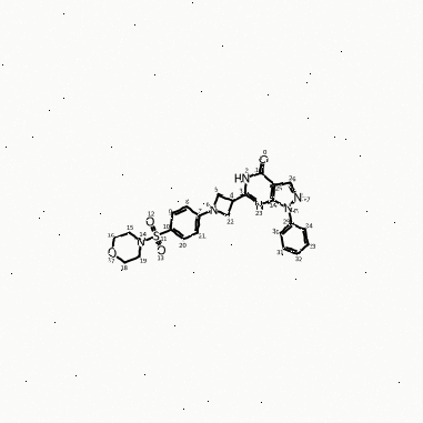 O=c1[nH]c(C2CN(c3ccc(S(=O)(=O)N4CCOCC4)cc3)C2)nc2c1cnn2-c1ccccc1